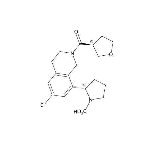 O=C([C@H]1CCOC1)N1CCc2cc(Cl)cc([C@@H]3CCCN3C(=O)O)c2C1